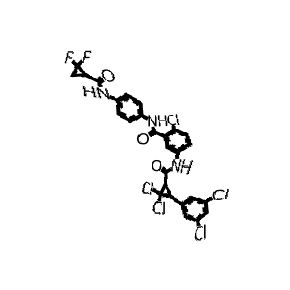 O=C(Nc1ccc(NC(=O)C2CC2(F)F)cc1)c1cc(NC(=O)C2C(c3cc(Cl)cc(Cl)c3)C2(Cl)Cl)ccc1Cl